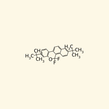 CC(C)(C)c1ccc2c(c1)OC(F)(F)c1c-2ccc2cc(C(C)(C)C)ccc12